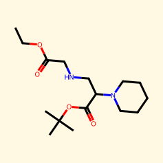 CCOC(=O)CNCC(C(=O)OC(C)(C)C)N1CCCCC1